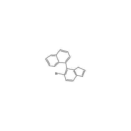 Brc1ccc2c(c1-c1cccc3ccccc13)CC=C2